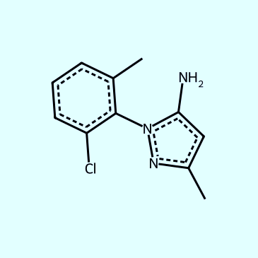 Cc1cc(N)n(-c2c(C)cccc2Cl)n1